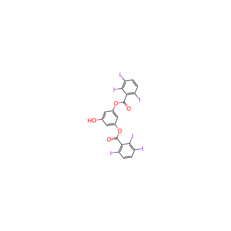 O=C(Oc1cc(O)cc(OC(=O)c2c(I)ccc(I)c2I)c1)c1c(I)ccc(I)c1I